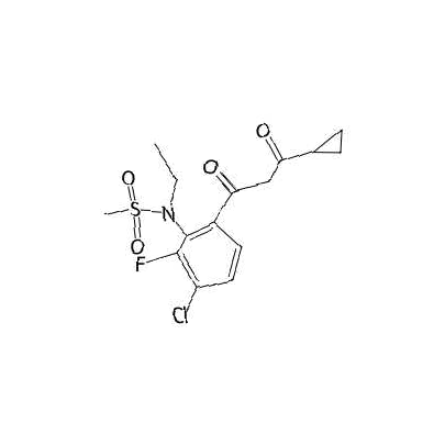 CCN(c1c(C(=O)CC(=O)C2CC2)ccc(Cl)c1F)S(C)(=O)=O